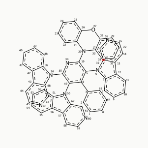 c1ccc(-c2c(-n3c4ccccc4c4ccncc43)c(N3c4ccccc4Oc4ccccc43)nc(-n3c4ccccc4c4ccncc43)c2-n2c3ccccc3c3ccncc32)cc1